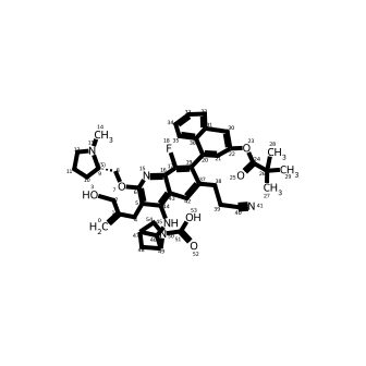 C=C(CO)Cc1c(OC[C@@H]2CCCN2C)nc2c(F)c(-c3cc(OC(=O)C(C)(C)C)cc4ccccc34)c(CCC#N)cc2c1NC1C2CC1N(C(=O)O)C2